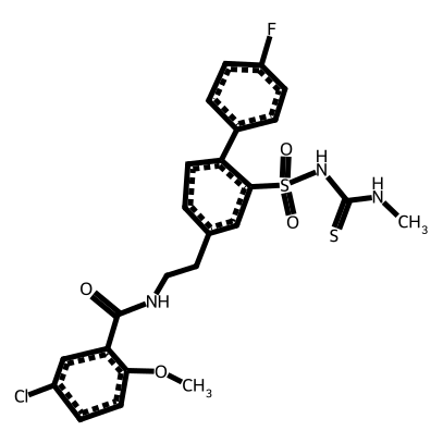 CNC(=S)NS(=O)(=O)c1cc(CCNC(=O)c2cc(Cl)ccc2OC)ccc1-c1ccc(F)cc1